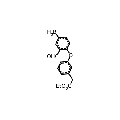 Bc1ccc(Oc2cccc(CC(=O)OCC)c2)c(C=O)c1